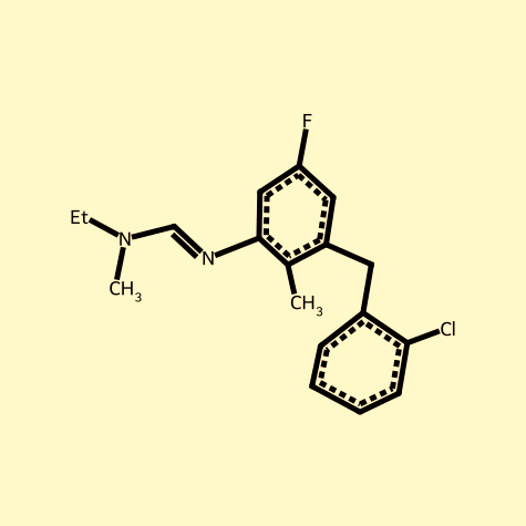 CCN(C)C=Nc1cc(F)cc(Cc2ccccc2Cl)c1C